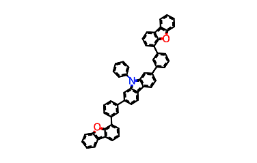 c1ccc(-n2c3cc(-c4cccc(-c5cccc6c5oc5ccccc56)c4)ccc3c3ccc(-c4cccc(-c5cccc6c5oc5ccccc56)c4)cc32)cc1